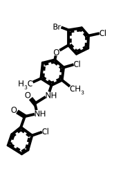 Cc1cc(Oc2ccc(Cl)cc2Br)c(Cl)c(C)c1NC(=O)NC(=O)c1ccccc1Cl